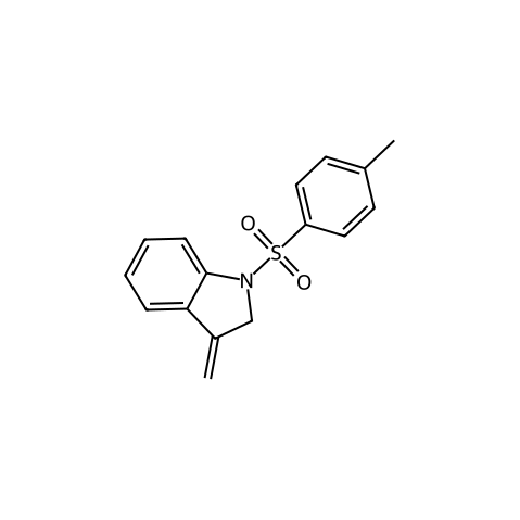 C=C1CN(S(=O)(=O)c2ccc(C)cc2)c2ccccc21